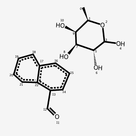 C[C@H]1OC(O)[C@H](O)[C@@H](O)[C@H]1O.O=Cc1cccc2ccccc12